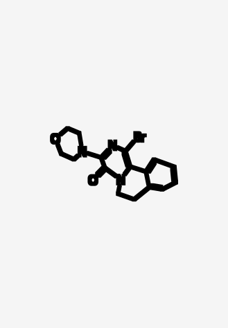 O=c1c(N2CCOCC2)nc(Br)c2n1CCc1ccccc1-2